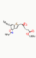 COc1cc2sc(C(=O)CCC(=O)OC(C)(C)C)cc2c2nc(C(C)C)oc12